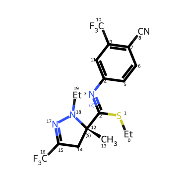 CCS/C(=N\c1ccc(C#N)c(C(F)(F)F)c1)[C@]1(C)CC(C(F)(F)F)=NN1CC